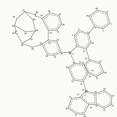 c1ccc(-c2ccc(N(c3ccc(-n4c5ccccc5c5ccccc54)cc3)c3ccc4c(c3)-c3ccccc3CC3CC5CC(C4)CC(C3)C5)c(-c3ccccc3)c2)cc1